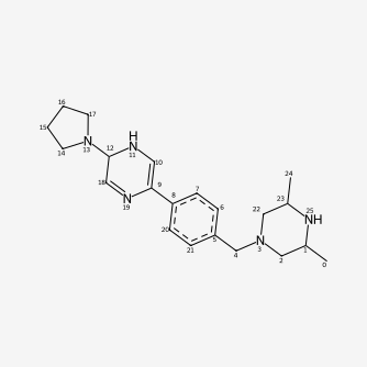 CC1CN(Cc2ccc(C3=CNC(N4CCCC4)C=N3)cc2)CC(C)N1